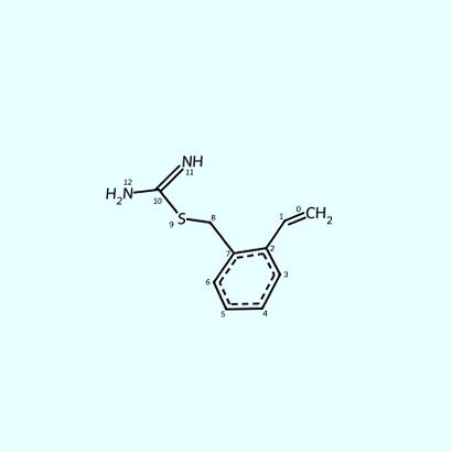 C=Cc1ccccc1CSC(=N)N